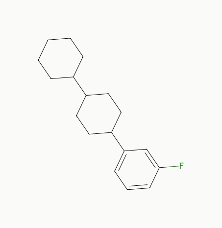 Fc1cccc(C2CCC(C3CCCCC3)CC2)c1